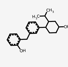 CC(C)C1CC(O)CCC1c1cccc(Cc2ccccc2O)c1